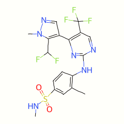 CNS(=O)(=O)c1ccc(Nc2ncc(C(F)(F)F)c(-c3cnn(C)c3C(F)F)n2)c(C)c1